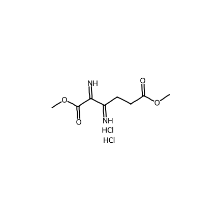 COC(=O)CCC(=N)C(=N)C(=O)OC.Cl.Cl